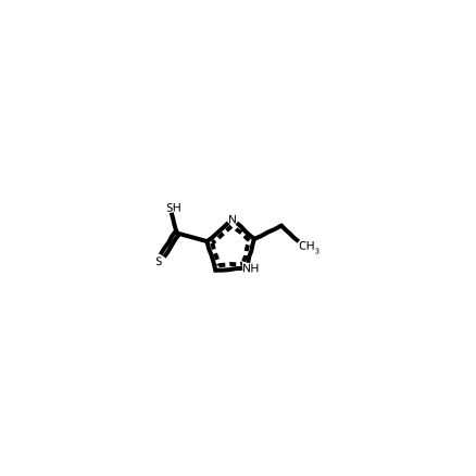 CCc1nc(C(=S)S)c[nH]1